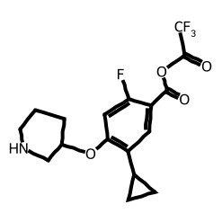 O=C(OC(=O)C(F)(F)F)c1cc(C2CC2)c(OC2CCCNC2)cc1F